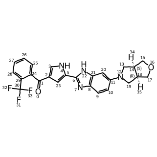 O=C(c1c[nH]c(-c2nc3ccc(N4C[C@H]5COC[C@H]5C4)cc3[nH]2)c1)c1ccccc1C(F)(F)F